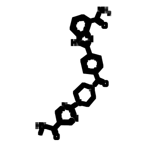 CNC(=O)c1cnc(N2CCN(C(=O)c3ccc(-c4nc5c(C(N)=O)cccc5[nH]4)cc3)CC2)nc1